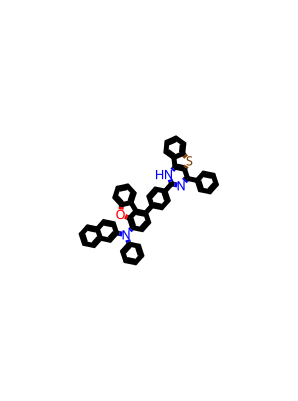 c1ccc(C2=NC(c3ccc(-c4ccc(N(c5ccccc5)c5ccc6ccccc6c5)c5oc6ccccc6c45)cc3)Nc3c2sc2ccccc32)cc1